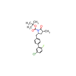 C[C@H]1C[C@@H](Cc2ccc(-c3cc(Cl)ccc3F)cc2)N(C(=O)OC(C)(C)C)C1=O